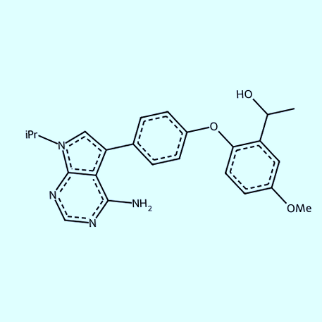 COc1ccc(Oc2ccc(-c3cn(C(C)C)c4ncnc(N)c34)cc2)c(C(C)O)c1